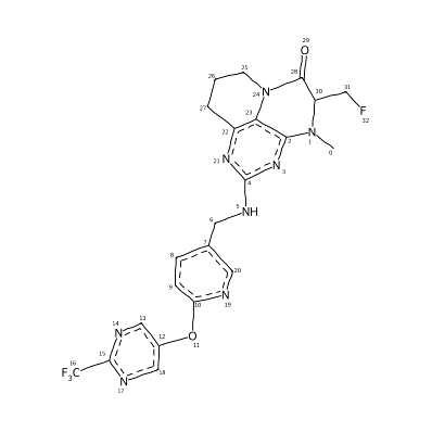 CN1c2nc(NCc3ccc(Oc4cnc(C(F)(F)F)nc4)nc3)nc3c2N(CCC3)C(=O)C1CF